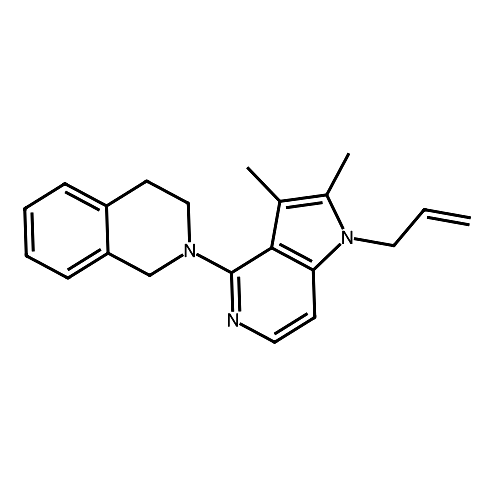 C=CCn1c(C)c(C)c2c(N3CCc4ccccc4C3)nccc21